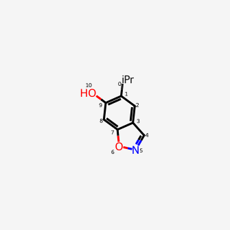 CC(C)c1cc2cnoc2cc1O